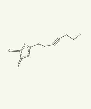 CCCC#CCOn1oc(=O)c(=O)o1